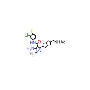 CC(=O)NCC1CC2CC(c3nn(C)c(N)c3C(=O)Nc3ccc(F)c(Cl)c3)CC2C1